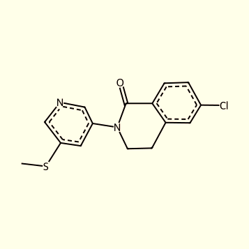 CSc1cncc(N2CCc3cc(Cl)ccc3C2=O)c1